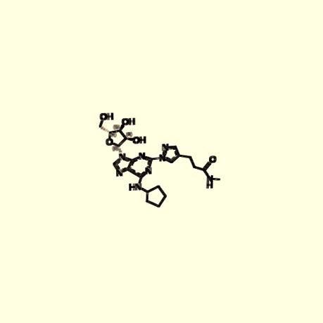 CNC(=O)CCc1cnn(-c2nc(NC3CCCC3)c3ncn([C@@H]4O[C@H](CO)[C@@H](O)[C@H]4O)c3n2)c1